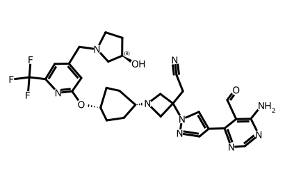 N#CCC1(n2cc(-c3ncnc(N)c3C=O)cn2)CN([C@H]2CC[C@@H](Oc3cc(CN4CC[C@@H](O)C4)cc(C(F)(F)F)n3)CC2)C1